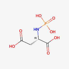 O=C(O)C[C@H](NP(=O)(O)O)C(=O)O